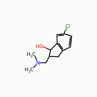 CN(C)CC1Cc2ccc(Cl)cc2C1O